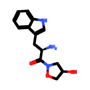 N[C@@H](Cc1c[nH]c2ccccc12)C(=O)N1CC(O)CO1